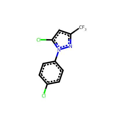 FC(F)(F)c1[c]c(Cl)n(-c2ccc(Cl)cc2)n1